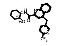 O=C(N[C@H]1CCCC[C@@H]1O)c1cc(Cc2ccc(C(F)(F)F)nc2)c2ccccc2n1